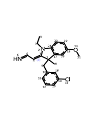 CCN1/C(=C\C=N)C(C)(Cc2cccc(Cl)c2)c2cc(OC)ccc21